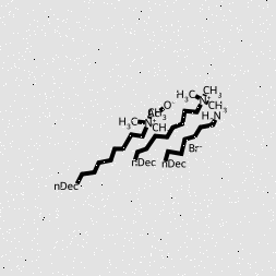 CC(=O)[O-].CCCCCCCCCCCCCCCCCC[N+](C)(C)C.CCCCCCCCCCCCCCCCCC[N+](C)(C)C.CCCCCCCCCCCCCCCCN.[Br-]